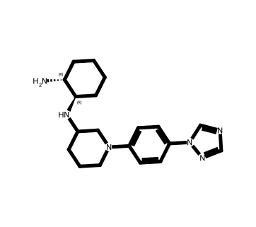 N[C@@H]1CCCC[C@H]1NC1CCCN(c2ccc(-n3cncn3)cc2)C1